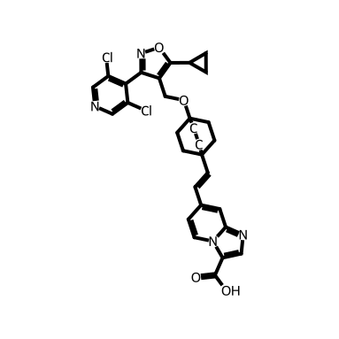 O=C(O)c1cnc2cc(C=CC34CCC(OCc5c(-c6c(Cl)cncc6Cl)noc5C5CC5)(CC3)CC4)ccn12